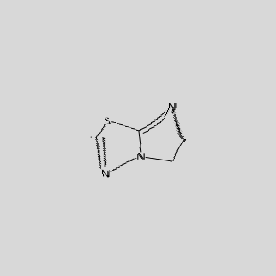 [C]1=NN2CCN=C2S1